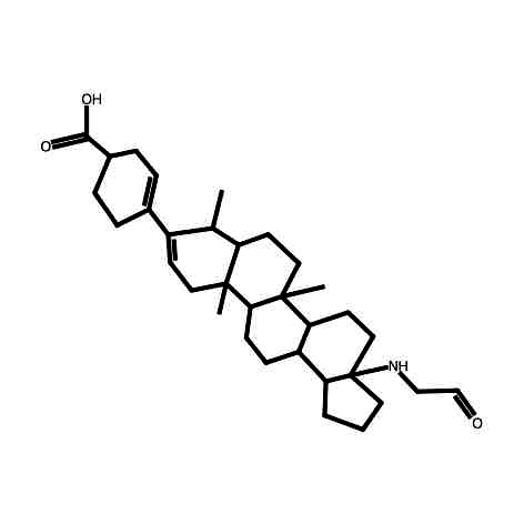 CC1C(C2=CCC(C(=O)O)CC2)=CCC2(C)C1CCC1(C)C3CCC4(NCC=O)CCCC4C3CCC21